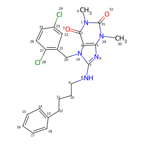 Cn1c(=O)c2c(nc(NCCCCc3ccccc3)n2Cc2cc(Cl)ccc2Cl)n(C)c1=O